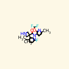 Cc1ccc(NC(=O)C2(c3cc(F)ccc3C(C)C)CNC2)c(OC(F)F)n1